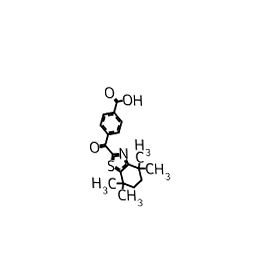 CC1(C)CCC(C)(C)c2sc(C(=O)c3ccc(C(=O)O)cc3)nc21